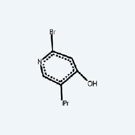 CC(C)c1cnc(Br)cc1O